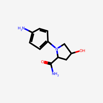 NC(=O)C1CC(O)CN1c1ccc(N)cc1